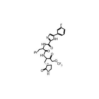 CC(C)CC(NC(=O)c1ncc(-c2cccc(F)c2)[nH]1)C(=O)NC(C[C@@H]1CCNC1=O)C(=O)COC(F)(F)F